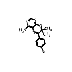 CC1(C)Oc2ncnc(N)c2N=C1c1ccc(Br)cc1